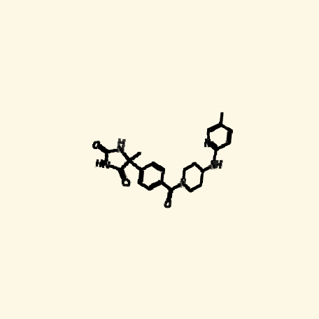 Cc1ccc(NC2CCN(C(=O)c3ccc(C4(C)NC(=O)NC4=O)cc3)CC2)nc1